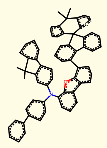 CC1(C)c2ccccc2-c2ccc(N(c3ccc(-c4ccccc4)cc3)c3cccc4c3oc3c(-c5cccc6c5-c5ccccc5C65c6ccccc6C(C)(C)c6ccccc65)cccc34)cc21